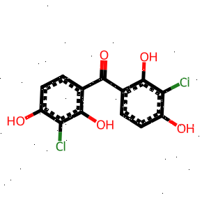 O=C(c1ccc(O)c(Cl)c1O)c1ccc(O)c(Cl)c1O